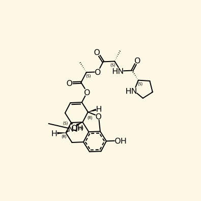 C[C@H](NC(=O)[C@@H]1CCCN1)C(=O)O[C@@H](C)C(=O)OC1=CC[C@@]2(O)[C@H]3Cc4ccc(O)c5c4[C@@]2(CCN3C)[C@H]1O5